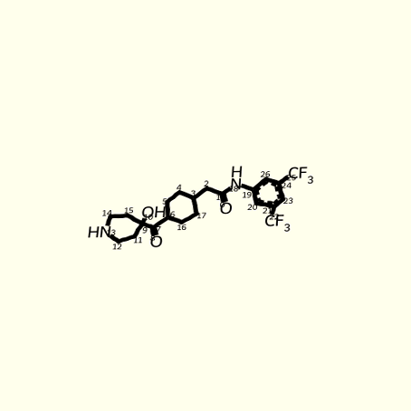 O=C(CC1CCC(C(=O)C2(O)CCNCC2)CC1)Nc1cc(C(F)(F)F)cc(C(F)(F)F)c1